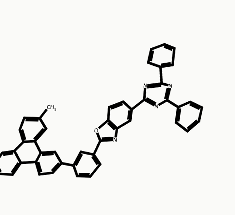 Cc1ccc2c3ccccc3c3ccc(-c4cccc(-c5nc6cc(-c7nc(-c8ccccc8)nc(-c8ccccc8)n7)ccc6o5)c4)cc3c2c1